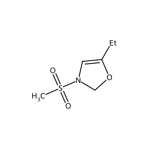 CCC1=CN(S(C)(=O)=O)CO1